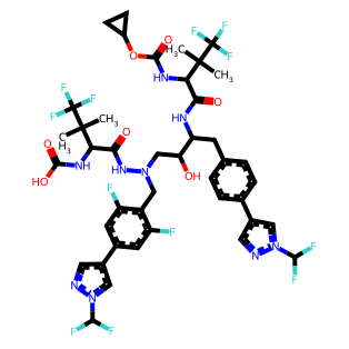 CC(C)(C(NC(=O)O)C(=O)NN(Cc1c(F)cc(-c2cnn(C(F)F)c2)cc1F)CC(O)C(Cc1ccc(-c2cnn(C(F)F)c2)cc1)NC(=O)C(NC(=O)OC1CC1)C(C)(C)C(F)(F)F)C(F)(F)F